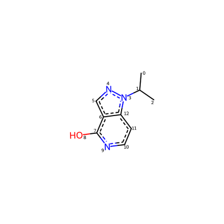 CC(C)n1ncc2c(O)nccc21